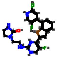 O=C1NCCN1CCNc1ncc(F)c(-c2cc3cccc(-c4cc(Cl)ncc4F)c3s2)n1